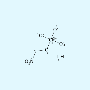 O=[N+]([O-])CO[Cl+3]([O-])([O-])[O-].[LiH]